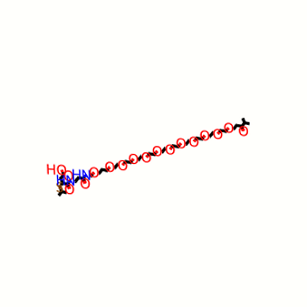 CC(C)SC(CC(=O)O)C(=O)NCCC(=O)NCOCCCOCCOCCOCCOCCOCCOCCOCCOCCOCCOCCOCCC(=O)C(C)C